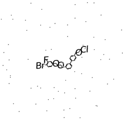 Fc1cc(OCOCc2cccc(-c3ccc(COCCl)cc3)c2)ccc1Br